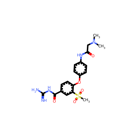 CN(C)CC(=O)Nc1ccc(Oc2ccc(C(=O)NC(=N)N)cc2S(C)(=O)=O)cc1